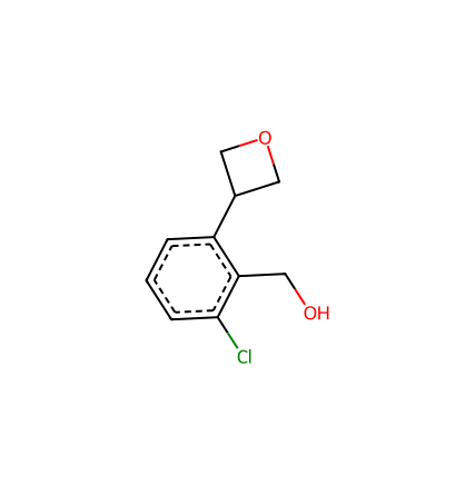 OCc1c(Cl)cccc1C1COC1